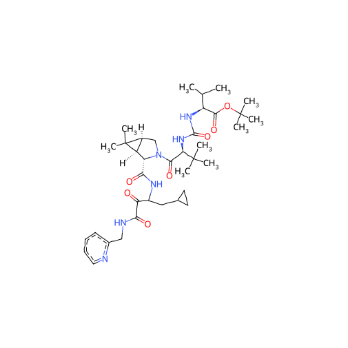 CC(C)[C@H](NC(=O)N[C@H](C(=O)N1C[C@H]2[C@@H]([C@H]1C(=O)NC(CC1CC1)C(=O)C(=O)NCc1ccccn1)C2(C)C)C(C)(C)C)C(=O)OC(C)(C)C